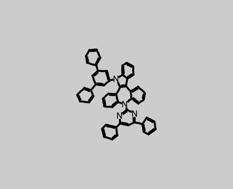 c1ccc(-c2cc(-c3ccccc3)cc(-n3c4c(c5ccccc53)-c3ccccc3N(c3nc(-c5ccccc5)cc(-c5ccccc5)n3)c3ccccc3-4)c2)cc1